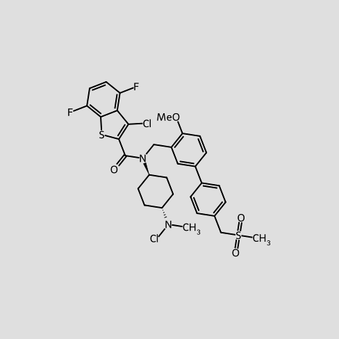 COc1ccc(-c2ccc(CS(C)(=O)=O)cc2)cc1CN(C(=O)c1sc2c(F)ccc(F)c2c1Cl)[C@H]1CC[C@H](N(C)Cl)CC1